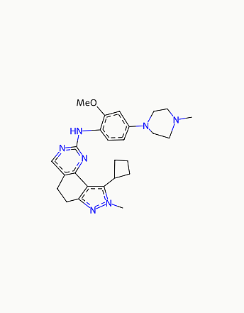 COc1cc(N2CCN(C)CC2)ccc1Nc1ncc2c(n1)-c1c(nn(C)c1C1CCC1)CC2